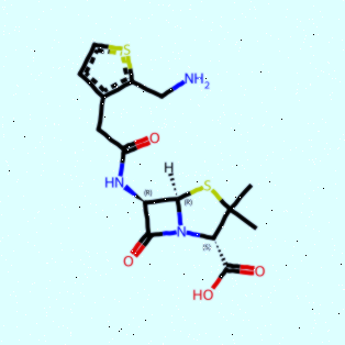 CC1(C)S[C@@H]2[C@H](NC(=O)Cc3ccsc3CN)C(=O)N2[C@H]1C(=O)O